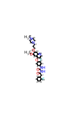 COc1cc2c(Oc3ccc(NC(=O)NC(=O)Cc4ccccc4F)cc3F)ccnc2cc1OCCCN1CCN(C)CC1